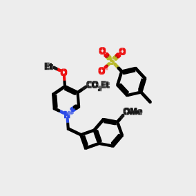 CCOC(=O)c1c[n+](CC2=Cc3ccc(OC)cc32)ccc1OCC.Cc1ccc(S(=O)(=O)[O-])cc1